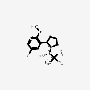 COc1ncc(F)cc1C1CCCN1[S@+]([O-])C(C)(C)C